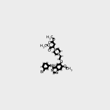 COC(=O)CC(C(=O)OC)N1CCN(CCOc2cc3c(Nc4cccc(Br)c4)ncnc3cc2OC)CC1